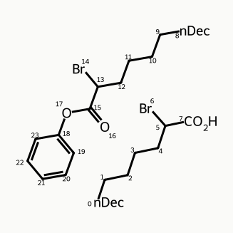 CCCCCCCCCCCCCCC(Br)C(=O)O.CCCCCCCCCCCCCCC(Br)C(=O)Oc1ccccc1